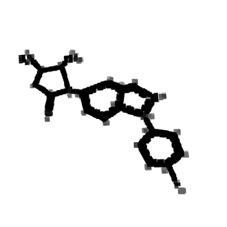 C[C@H]1[C@H](N)CC(=O)N1c1ccc2c(cnn2-c2ccc(F)cc2)c1